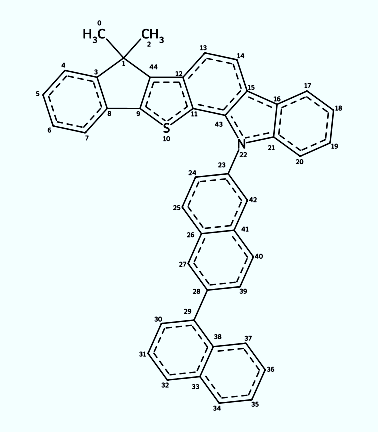 CC1(C)c2ccccc2-c2sc3c(ccc4c5ccccc5n(-c5ccc6cc(-c7cccc8ccccc78)ccc6c5)c43)c21